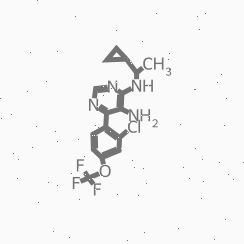 CC(Nc1ncnc(-c2ccc(OC(F)(F)F)cc2Cl)c1N)C1CC1